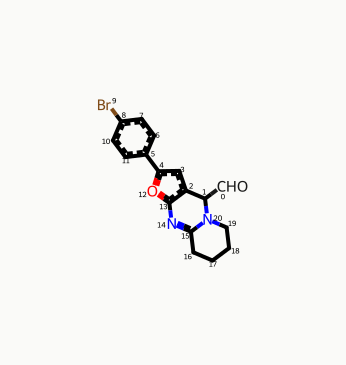 O=CC1c2cc(-c3ccc(Br)cc3)oc2N=C2CCCCN21